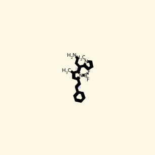 CC1=CC(/C=C/c2ccccc2)=[N+](B(F)F)C/1=C(/CCN)c1cccn1C